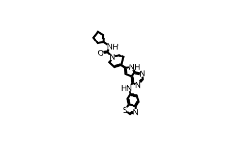 O=C(NC1CCCC1)N1CC=C(c2cc3c(Nc4ccc5ncsc5c4)ncnc3[nH]2)CC1